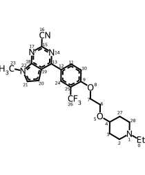 CCN1CCC(OCCOc2ccc(-c3nc(C#N)nc4c3ccn4C)cc2C(F)(F)F)CC1